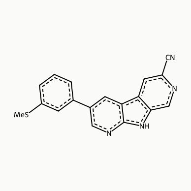 CSc1cccc(-c2cnc3[nH]c4cnc(C#N)cc4c3c2)c1